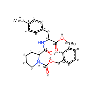 COc1ccc(CC(NC(=O)C2CCCCN2C(=O)OCc2ccccc2)C(=O)OC(C)(C)C)cc1